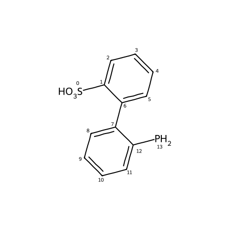 O=S(=O)(O)c1ccccc1-c1ccccc1P